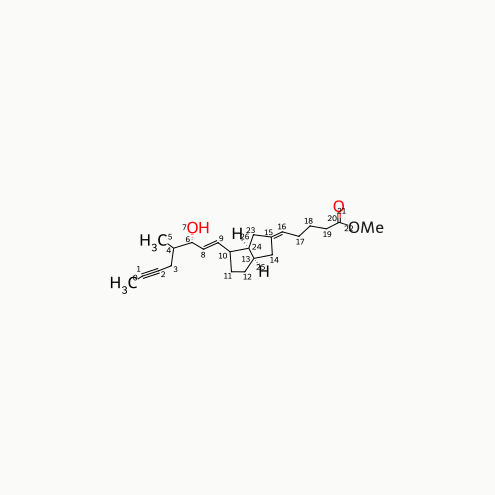 CC#CCC(C)[C@H](O)/C=C/C1CC[C@@H]2CC(=CCCCC(=O)OC)C[C@H]12